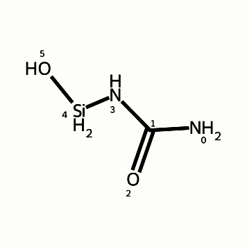 NC(=O)N[SiH2]O